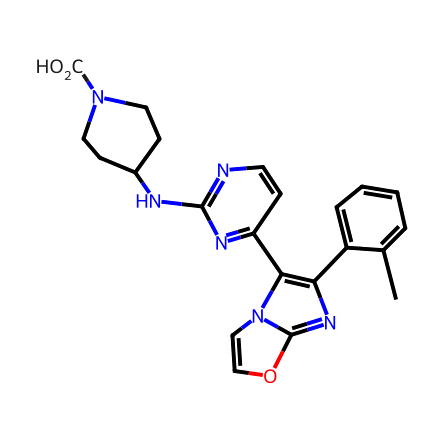 Cc1ccccc1-c1nc2occn2c1-c1ccnc(NC2CCN(C(=O)O)CC2)n1